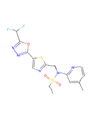 CCS(=O)(=O)N(Cc1ncc(-c2nnc(C(F)F)o2)s1)c1cc(C)ccn1